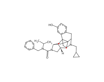 CC(C)N(Cc1ccccc1)C(=O)N1C[C@H]2CC34CCC1C2C31CCN(CC2CC2)C4Cc2ccc(O)cc21